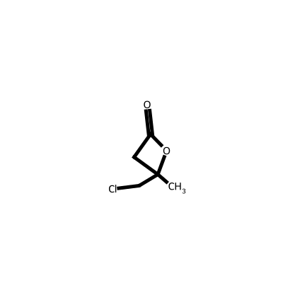 CC1(CCl)CC(=O)O1